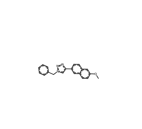 COc1ccc2cc(-c3cn(Cc4ccccc4)nn3)ccc2c1